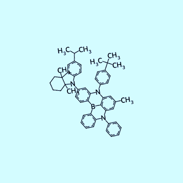 Cc1cc2c3c(c1)N(c1ccc(C(C)(C)C)cc1)c1cc(N4c5ccc(C(C)C)cc5C5(C)CCCCC45C)ccc1B3c1ccccc1N2c1ccccc1